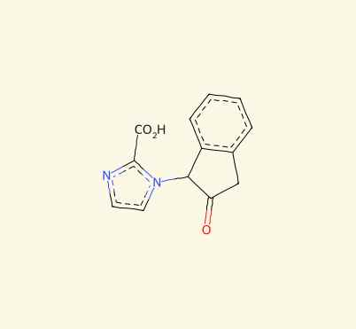 O=C(O)c1nccn1C1C(=O)Cc2ccccc21